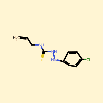 C=CCNC(=S)NNc1ccc(Cl)cc1